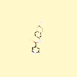 N[C@H]1CCc2cc(NC(=O)c3ccnc(C(F)(F)F)c3)ccc2C1